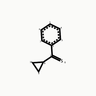 S=C(c1ccccc1)C1CC1